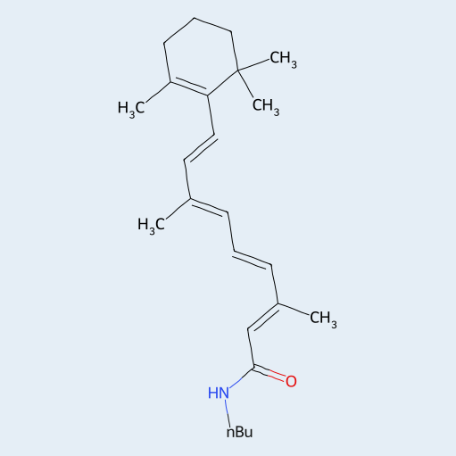 CCCCNC(=O)C=C(C)C=CC=C(C)C=CC1=C(C)CCCC1(C)C